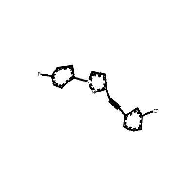 Fc1ccc(-n2ccc(C#Cc3cccc(Cl)c3)n2)cc1